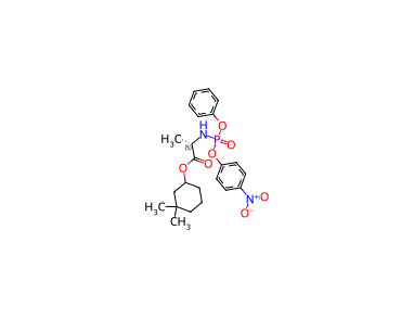 C[C@H](NP(=O)(Oc1ccccc1)Oc1ccc([N+](=O)[O-])cc1)C(=O)OC1CCCC(C)(C)C1